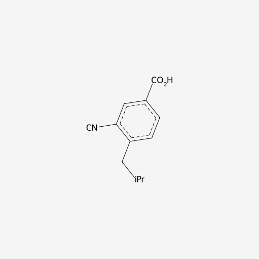 [C-]#[N+]c1cc(C(=O)O)ccc1CC(C)C